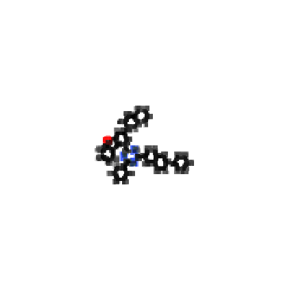 C1=Cc2cc(-c3cc(-c4nc(-c5ccccc5)nc(-c5ccc6cc(-c7ccccc7)ccc6c5)n4)c4c(c3)oc3ccccc34)ccc2CC1